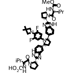 COC(=O)N[C@H](C(=O)N1CCC[C@H]1c1nc2cc([C@H]3CC[C@H](c4ccc5[nH]c([C@@H]6CCCN6C(=O)[C@@H](NC(=O)O)C(C)C)nc5c4)N3c3cc(F)c(N4CC(C)(C)C4)c(F)c3)ccc2[nH]1)C(C)C